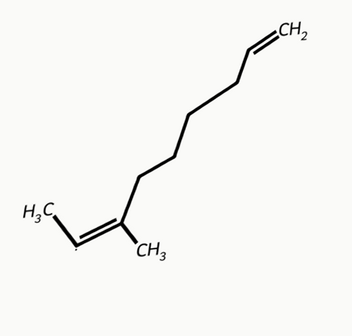 C=CCCCC/C(C)=[C]\C